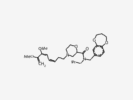 C=C(OC)/C(=C\C=C/CCN1CCOC(C(=O)N(Cc2ccc3c(c2)OCCCO3)CC(C)C)C1)OC